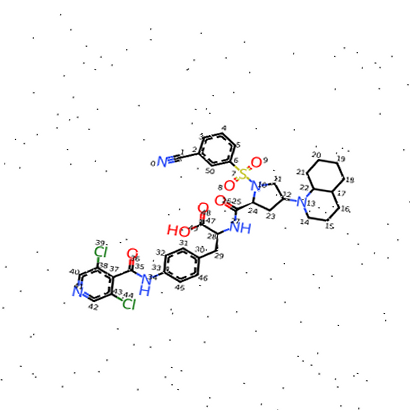 N#Cc1cccc(S(=O)(=O)N2CC(N3CCCC4CCCCC43)C[C@H]2C(=O)N[C@@H](Cc2ccc(NC(=O)c3c(Cl)cncc3Cl)cc2)C(=O)O)c1